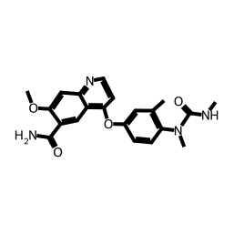 CNC(=O)N(C)c1ccc(Oc2ccnc3cc(OC)c(C(N)=O)cc23)cc1C